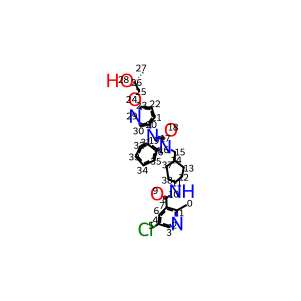 Cc1ncc(Cl)cc1C(=O)NC1CCC(Cn2c(=O)n(-c3ccc(OC[C@@H](C)O)nc3)c3ccccc32)CC1